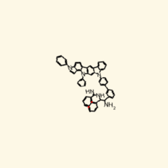 N=C(NC(c1ccccc1)C(N)c1cccc(-c2ccc(-n3c4ccccc4c4cc5c6ccc7c(ccn7-c7ccccc7)c6n(-c6ccccc6)c5cc43)cc2)c1)c1ccccc1